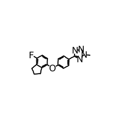 Cn1nnc(-c2ccc(Oc3ccc(F)c4c3CCC4)cc2)n1